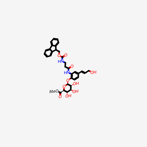 COC(=O)[C@H]1O[C@@H](Oc2ccc(/C=C/CO)cc2NC(=O)CCNC(=O)OCC2c3ccccc3-c3ccccc32)[C@H](O)[C@@H](O)[C@@H]1O